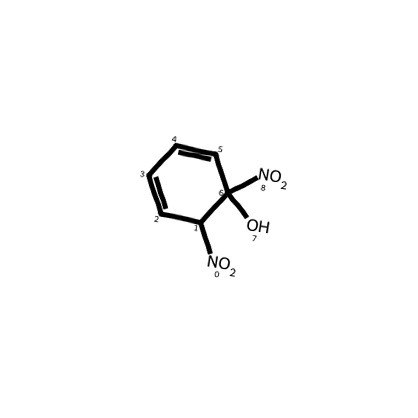 O=[N+]([O-])C1C=CC=CC1(O)[N+](=O)[O-]